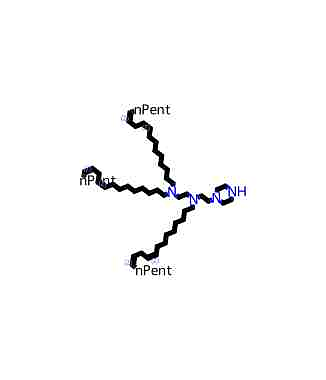 CCCCC/C=C\C/C=C\CCCCCCCCN(CCCCCCCC/C=C\C/C=C\CCCCC)CCN(CCCCCCCC/C=C\C/C=C\CCCCC)CCN1CCNCC1